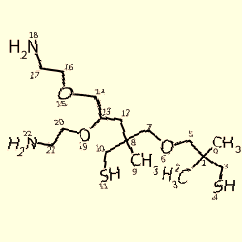 CC(C)(CS)COCC(C)(CS)CC(COCCN)OCCN